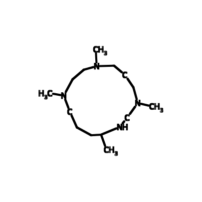 CC1CCCN(C)CCN(C)CCCN(C)CN1